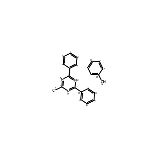 Clc1nc(-c2ccccc2)nc(-c2ccccc2)n1.N#Cc1ccccc1